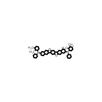 Cc1cccc(N(c2ccccc2)c2ccc3cc4c(cc3c2)oc2cc3c(cc24)oc2cc4cc(N(c5ccccc5)c5cccc(C)c5C)ccc4cc23)c1C